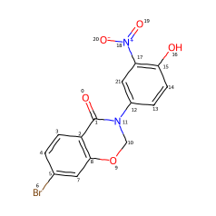 O=C1c2ccc(Br)cc2OCN1c1ccc(O)c([N+](=O)[O-])c1